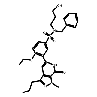 CCCc1nn(C)c2c(=O)[nH]c(-c3cc(S(=O)(=O)N(CCCO)Cc4ccccc4)ccc3OCC)cc12